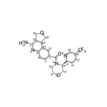 Nc1nc2ccc(C(=O)N3CCOC[C@@H]3c3ccc(C(F)(F)F)cn3)cc2c2c1COC2